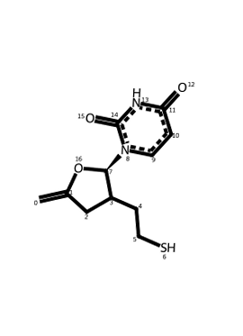 C=C1CC(CCS)[C@H](n2ccc(=O)[nH]c2=O)O1